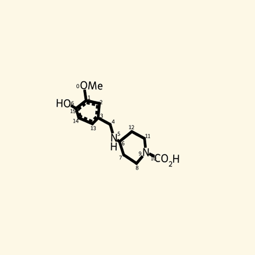 COc1cc(CNC2CCN(C(=O)O)CC2)ccc1O